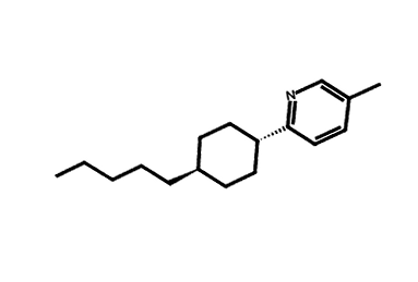 CCCCC[C@H]1CC[C@H](c2ccc(C)cn2)CC1